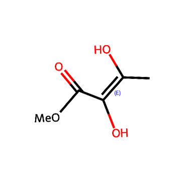 COC(=O)/C(O)=C(/C)O